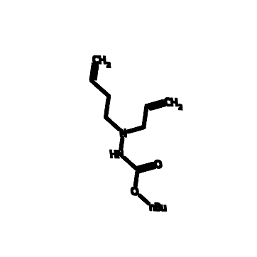 C=CCCN(CC=C)NC(=O)OCCCC